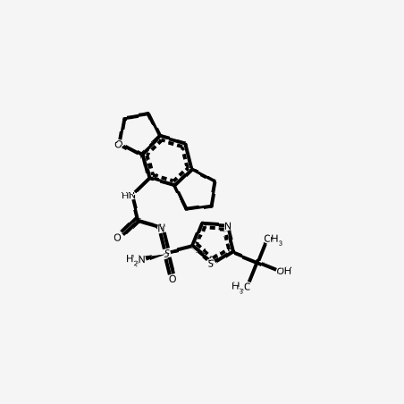 CC(C)(O)c1ncc([S@](N)(=O)=NC(=O)Nc2c3c(cc4c2OCC4)CCC3)s1